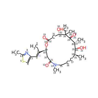 C/C(=C\c1csc(C)n1)[C@@H]1CC(=O)N(C)CCC[C@H](C)[C@H](O)[C@@H](C)C(=O)C(C)(C)[C@@H](O)CC(=O)O1